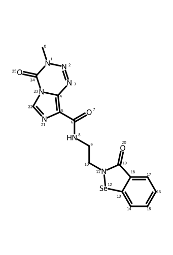 Cn1nnc2c(C(=O)NCCn3[se]c4ccccc4c3=O)ncn2c1=O